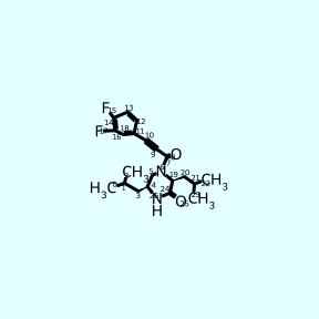 CC(C)C[C@H]1CN(C(=O)C#Cc2ccc(F)c(F)c2)[C@@H](CC(C)C)C(=O)N1